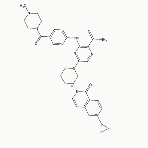 CN1CCN(C(=O)c2ccc(Nc3nc(N4CCC[C@@H](n5ccc6cc(C7CC7)ccc6c5=O)C4)cnc3C(N)=O)cc2)CC1